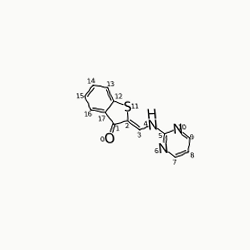 O=C1C(=CNc2ncccn2)Sc2ccccc21